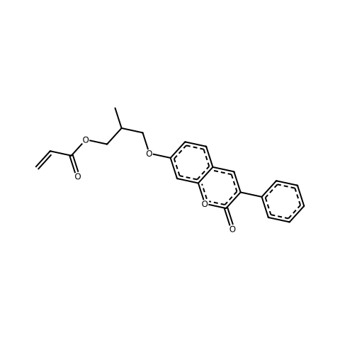 C=CC(=O)OCC(C)COc1ccc2cc(-c3ccccc3)c(=O)oc2c1